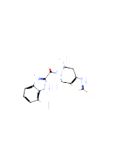 C[C@@H]1Cc2nc(Br)sc2CN1C(=O)c1nc2cccc(Cl)c2[nH]1